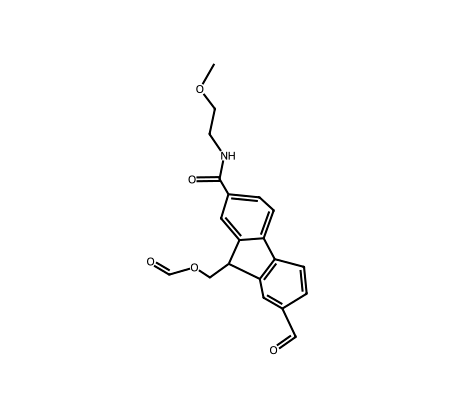 COCCNC(=O)c1ccc2c(c1)C(COC=O)c1cc(C=O)ccc1-2